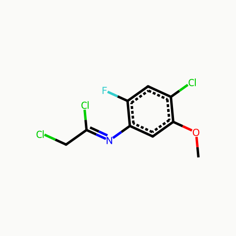 COc1cc(N=C(Cl)CCl)c(F)cc1Cl